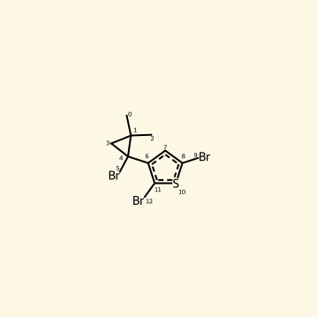 CC1(C)CC1(Br)c1cc(Br)sc1Br